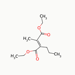 CCCC(C(=O)OCC)=C(C)C(=O)OCC